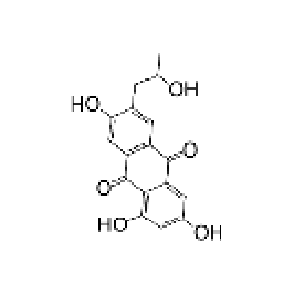 CC(O)Cc1cc2c(cc1O)C(=O)c1c(O)cc(O)cc1C2=O